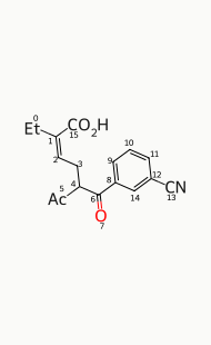 CCC(=CCC(C(C)=O)C(=O)c1cccc(C#N)c1)C(=O)O